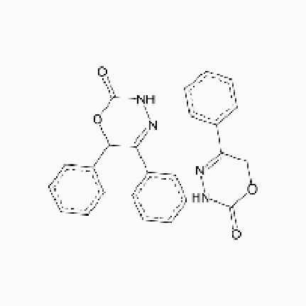 O=C1NN=C(c2ccccc2)C(c2ccccc2)O1.O=C1NN=C(c2ccccc2)CO1